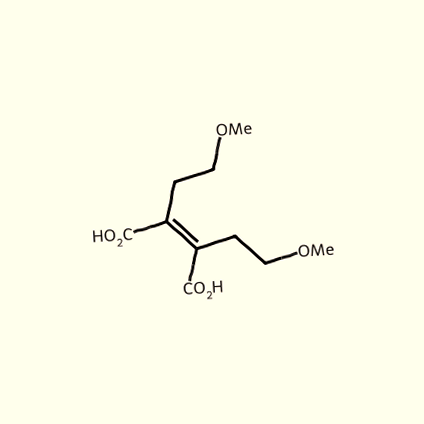 COCCC(C(=O)O)=C(CCOC)C(=O)O